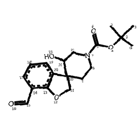 CC(C)(C)OC(=O)N1CCC2(COc3c(C=O)cccc32)C(O)C1